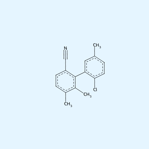 Cc1ccc(Cl)c(-c2c(C#N)ccc(C)c2C)c1